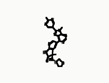 Cc1ncc(-c2nc3c(-c4cnc5c(c4)C(C)(N[C@H]4CCOC4)C(=O)N5)ncnc3n2C)cn1